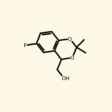 CC1(C)Oc2ccc(F)cc2C(CO)O1